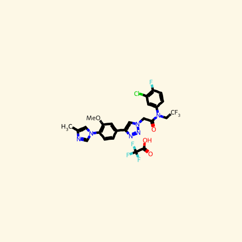 COc1cc(-c2cn(CC(=O)N(CC(F)(F)F)c3ccc(F)c(Cl)c3)nn2)ccc1-n1cnc(C)c1.O=C(O)C(F)(F)F